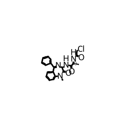 C[C@H](NC(=O)CCl)C(=O)NC1N=C(c2ccccc2)c2ccccc2N(C)C1=O